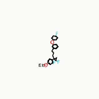 CCOc1ccc(C2(CCCc3cccc(Oc4ccc(F)cc4)c3)CC2(F)F)cc1